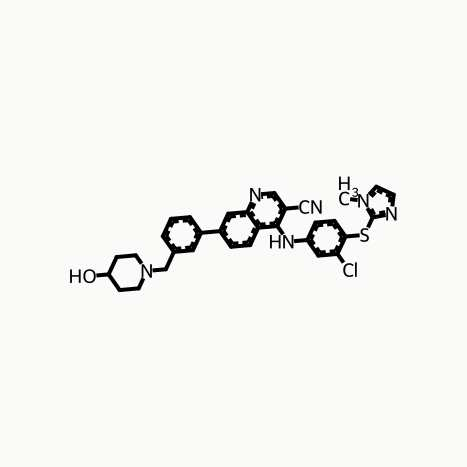 Cn1ccnc1Sc1ccc(Nc2c(C#N)cnc3cc(-c4cccc(CN5CCC(O)CC5)c4)ccc23)cc1Cl